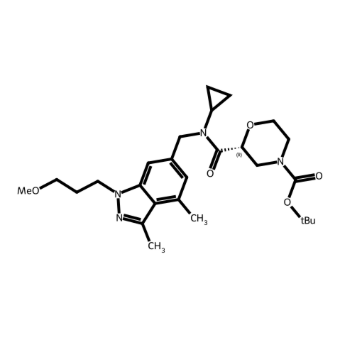 COCCCn1nc(C)c2c(C)cc(CN(C(=O)[C@H]3CN(C(=O)OC(C)(C)C)CCO3)C3CC3)cc21